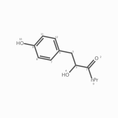 CCCC(=O)C(O)Cc1ccc(O)cc1